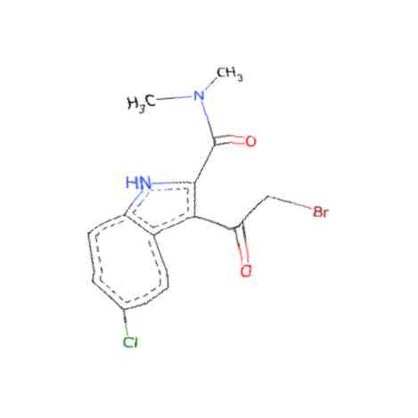 CN(C)C(=O)c1[nH]c2ccc(Cl)cc2c1C(=O)CBr